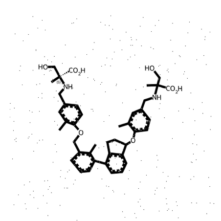 Cc1cc(CN[C@@](C)(CO)C(=O)O)ccc1OCc1cccc(-c2cccc3c2CCC3Oc2ccc(CNC(C)(CO)C(=O)O)cc2C)c1C